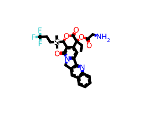 CCC1(OC(=O)CN)C(=O)OC([Si](C)(C)CCC(F)(F)F)c2c1cc1n(c2=O)Cc2cc3ccccc3nc2-1